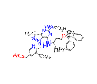 CCCC(CCO[Si](c1ccccc1)(c1ccccc1)C(C)(C)C)Nc1nc(NC(=O)O)nc2c(C)nn(Cc3ncc(CO)cc3OC)c12